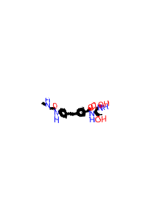 CCNCC(=O)Nc1ccc(C#Cc2ccc(C(=O)N[C@H](C(=O)NO)[C@@H](C)O)cc2)cc1